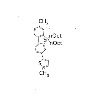 CCCCCCCC[Si]1(CCCCCCCC)c2cc(C)ccc2-c2ccc(-c3ccc(C)s3)cc21